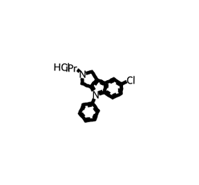 CC(C)N1Cc2c(n(-c3ccccc3)c3ccc(Cl)cc23)C1.Cl